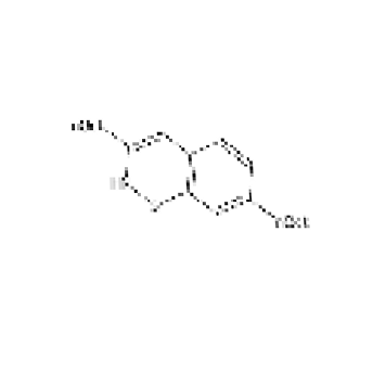 CCCCCCCCC1=Cc2ccc(CCCCCCCC)cc2SN1